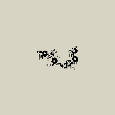 CCc1cc(N2C(=S)N(c3ccc(C#N)c(C(F)(F)F)c3)C(=O)C2(C)C)ccc1OCCN1CCN(C(C)C(=O)Nc2cccc(NC3CCC(=O)NC3=O)c2)[C@H](C)C1